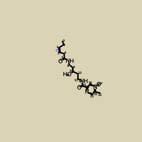 CC/C=C\CC(=O)NCCC(O)CCNC(=O)c1c[n+]([O-])c(C)cn1